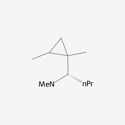 CCC[C@H](NC)C1(C)CC1C